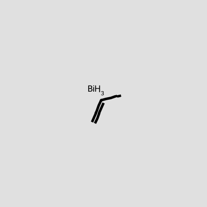 C=CC.[BiH3]